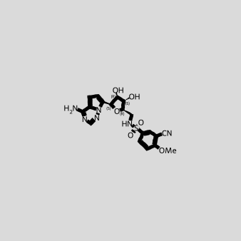 COc1ccc(S(=O)(=O)NC[C@H]2O[C@@H](c3ccc4c(N)ncnn34)[C@H](O)[C@@H]2O)cc1C#N